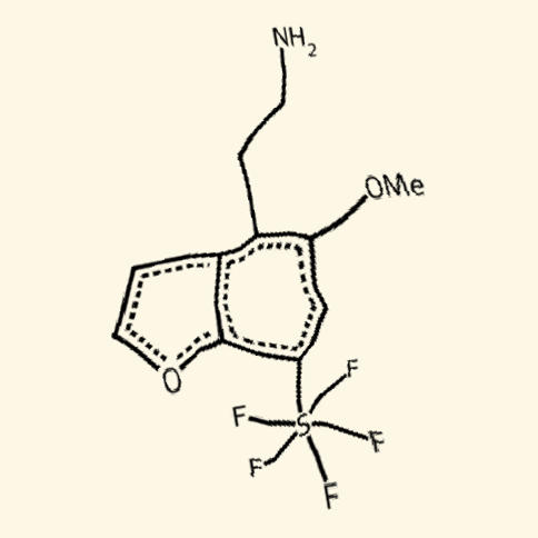 COc1cc(S(F)(F)(F)(F)F)c2occc2c1CCN